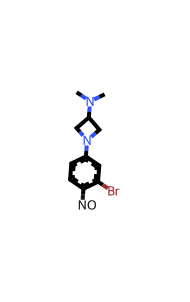 CN(C)C1CN(c2ccc(N=O)c(Br)c2)C1